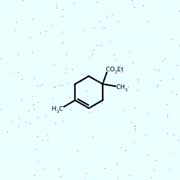 CCOC(=O)C1(C)CC=C(C)CC1